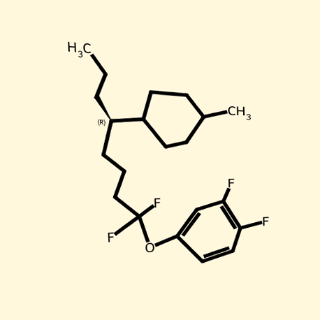 CCC[C@H](CCCC(F)(F)Oc1ccc(F)c(F)c1)C1CCC(C)CC1